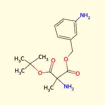 CC(C)(C)OC(=O)C(C)(N)C(=O)OCc1cccc(N)c1